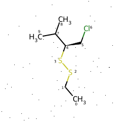 CCSS[C@H](CCl)C(C)C